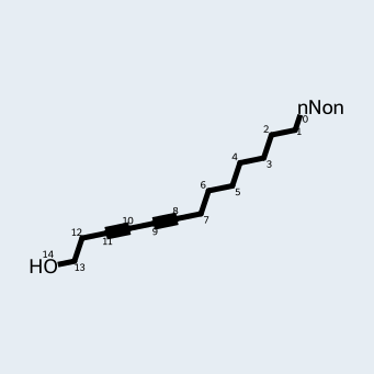 CCCCCCCCCCCCCCCCC#CC#CCCO